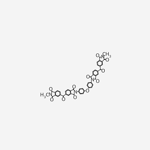 CN1C(=O)c2ccc(C(=O)c3ccc4c(c3)C(=O)N(c3ccc(Oc5ccc(N6C(=O)c7ccc(C(=O)c8ccc9c(c8)C(=O)N(C)C9=O)cc7C6=O)cc5)cc3)C4=O)cc2C1=O